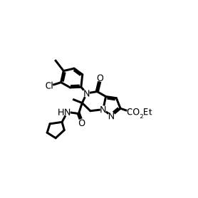 CCOC(=O)c1cc2n(n1)CC(C)(C(=O)NC1CCCC1)N(c1ccc(C)c(Cl)c1)C2=O